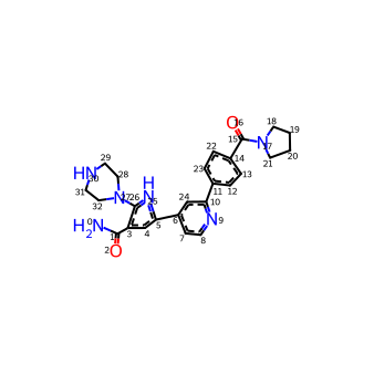 NC(=O)c1cc(-c2ccnc(-c3ccc(C(=O)N4CCCC4)cc3)c2)[nH]c1N1CCNCC1